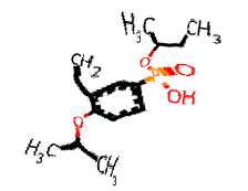 C=Cc1cc(P(=O)(O)OC(C)CC)ccc1OC(C)C